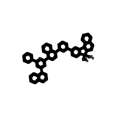 CC1(C)c2ccc(-c3cccc(-c4ccc(-c5nc(-c6ccccc6)cc(-c6cccc7ccccc67)n5)c5ccccc45)c3)cc2-c2c1ccc1ccccc21